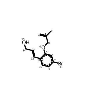 C=C(C)COc1cc(Br)ccc1C=CCO